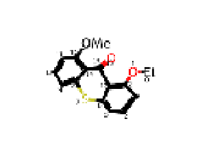 CCOc1cccc2sc3cccc(OC)c3c(=O)c12